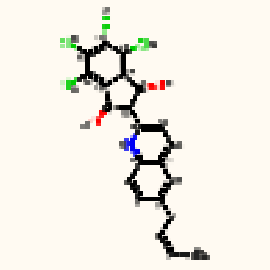 CCCC/C=C\Cc1ccc2nc(C3C(=O)c4c(Cl)c(Cl)c(Cl)c(Cl)c4C3=O)ccc2c1